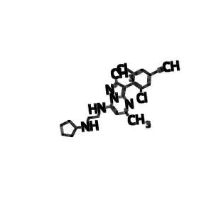 C#Cc1cc(Cl)c(-c2c(C)nn3c(NCCNC4CCCC4)cc(C)nc23)c(Cl)c1